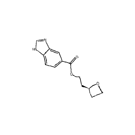 O=C(OCC[C@@H]1CCO1)c1ccc2[nH]cnc2c1